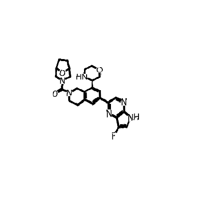 O=C(N1CCc2cc(-c3cnc4[nH]cc(F)c4n3)cc([C@@H]3COCCN3)c2C1)N1CC2CCC(C1)O2